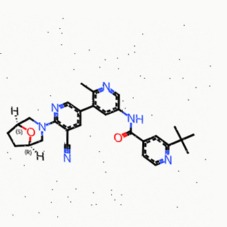 Cc1ncc(NC(=O)c2ccnc(C(C)(C)C)c2)cc1-c1cnc(N2C[C@H]3CC[C@@H](C2)O3)c(C#N)c1